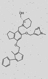 Cc1c(COc2cc(OCc3cnn(C)c3)c(CN3CCCC[C@H]3CO)c3c2CCC3)cccc1-c1ccccc1